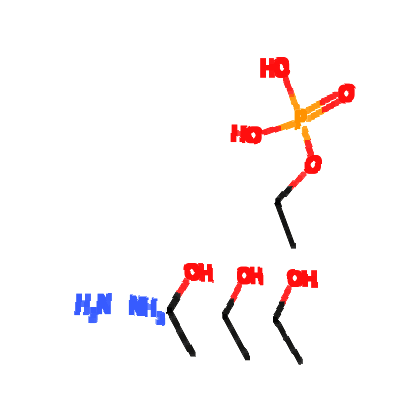 CCO.CCO.CCO.CCOP(=O)(O)O.N.N